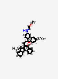 CCCOCCNc1ccc(C2(c3ccc(SC)cc3)C=Cc3c4c(c5ccccc5c3O2)-c2ccccc2C4(C)C)cc1